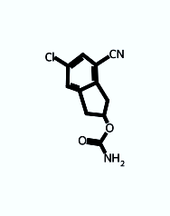 N#Cc1cc(Cl)cc2c1CC(OC(N)=O)C2